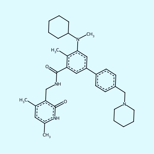 Cc1cc(C)c(CNC(=O)c2cc(-c3ccc(CN4CCCCC4)cc3)cc(N(C)C3CCCCC3)c2C)c(=O)[nH]1